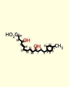 Cc1ccc(CCCC(O)/C=C/C=C\C=C\C(O)CCC(=O)O)cc1